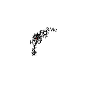 COc1cc(F)c(CNC(=O)[C@H]2[C@H](C(=O)NCCCCN3CCCC3)[C@H]3C=C[C@@H]2C32CC2)c(F)c1